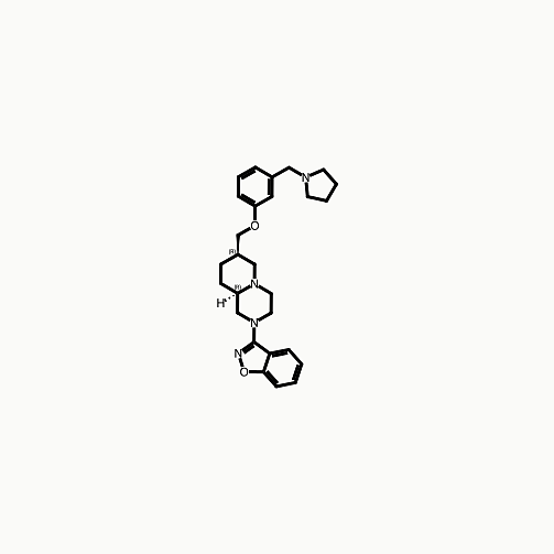 c1cc(CN2CCCC2)cc(OC[C@@H]2CC[C@@H]3CN(c4noc5ccccc45)CCN3C2)c1